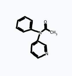 CC(=O)N(c1ccccc1)c1cccnc1